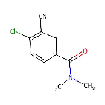 CN(C)C(=O)c1ccc(Cl)c(C#N)c1